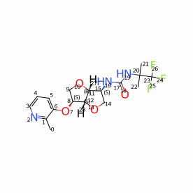 Cc1ncccc1O[C@H]1CO[C@H]2[C@@H]1OC[C@@H]2NC(=O)NC(C)(C)C(F)(F)F